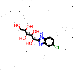 OCC(O)[C@@H](O)C(O)[C@H](O)c1nc2cc(Cl)ccc2[nH]1